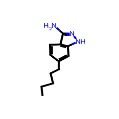 CCCCCc1ccc2c(N)n[nH]c2c1